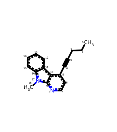 CCCC#Cc1ccnc2c1c1ccccc1n2C